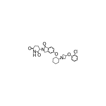 O=C1CCC(N2Cc3cc(O[C@H]4CCCC[C@@H]4N4CC(Oc5ccccc5Cl)C4)ccc3C2=O)C(=O)N1